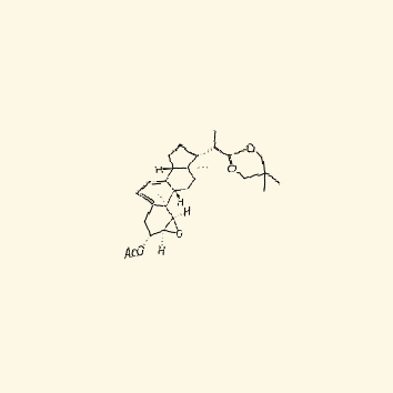 CC(=O)O[C@@H]1CC2=CC=C3[C@@H]4CC[C@H](C(C)C5OCC(C)(C)CO5)[C@@]4(C)CC[C@@H]3[C@@]2(C)[C@H]2O[C@@H]12